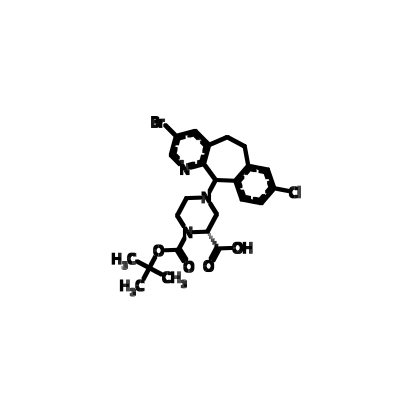 CC(C)(C)OC(=O)N1CCN(C2c3ccc(Cl)cc3CCc3cc(Br)cnc32)C[C@@H]1C(=O)O